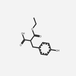 CCOC(=O)C(Cc1ccc(O)cc1)C(=O)O